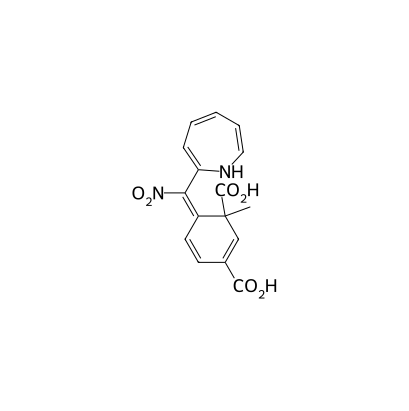 CC1(C(=O)O)C=C(C(=O)O)C=CC1=C(C1=CC=CC=CN1)[N+](=O)[O-]